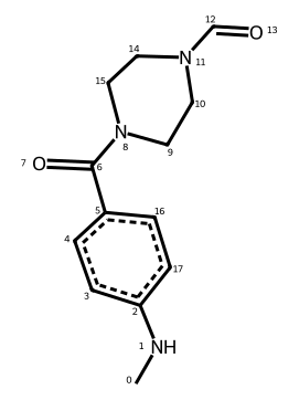 CNc1ccc(C(=O)N2CCN(C=O)CC2)cc1